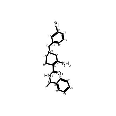 CC(NC(=O)C1=C(N)CN(Cc2cccc(Cl)c2)CC1)c1ccccc1